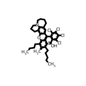 C=c1c(CCCCC)cc2c(c1CCCC)Oc1c(cc3c4c1CCCN4CCCC3)C=2c1c(Cl)c(Cl)c(Cl)c(Cl)c1C(=O)O